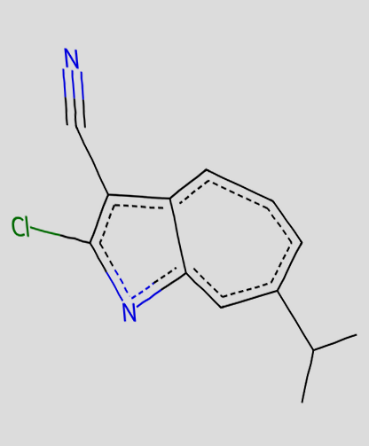 CC(C)c1cccc2c(C#N)c(Cl)nc-2c1